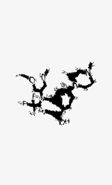 COCC(COC)N(C(=O)C(F)(F)F)c1cc(N2CCN(C)CC2)ccc1C(=O)O